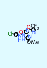 COc1ccc([C@@H]2CN(C(=O)c3cnccc3C(F)(F)F)CC[C@H]2NC(=O)Nc2ccc(Cl)cc2)nc1